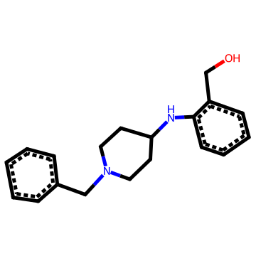 OCc1ccccc1NC1CCN(Cc2ccccc2)CC1